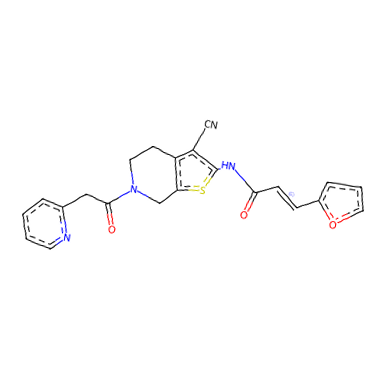 N#Cc1c(NC(=O)/C=C/c2ccco2)sc2c1CCN(C(=O)Cc1ccccn1)C2